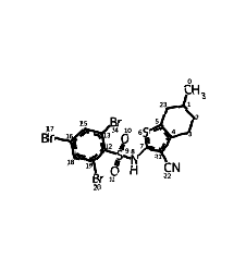 CC1CCc2c(sc(NS(=O)(=O)c3c(Br)cc(Br)cc3Br)c2C#N)C1